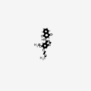 COCCOc1cc2ncnc(NC3=CC(=O)c4ccccc4C3=O)c2cc1OC